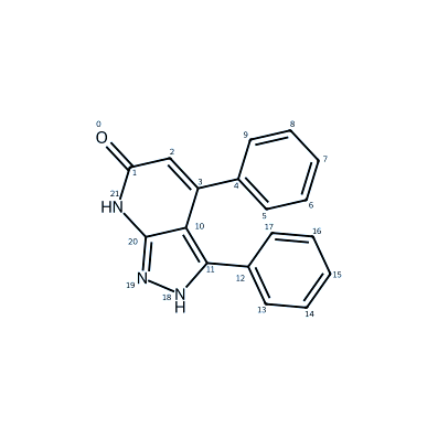 O=c1cc(-c2ccccc2)c2c(-c3ccccc3)[nH]nc2[nH]1